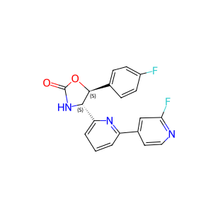 O=C1N[C@@H](c2cccc(-c3ccnc(F)c3)n2)[C@H](c2ccc(F)cc2)O1